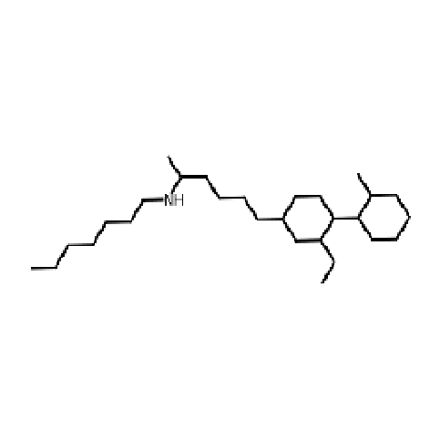 CCCCCCCNC(C)CCCCC1CCC(C2CCCCC2C)C(CC)C1